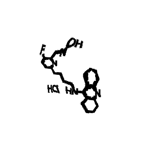 Cl.ON=Cc1nc(CCCCNc2c3c(nc4ccccc24)CCCC3)ccc1F